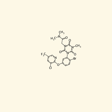 CN(C)C(=O)Cn1c(=O)n(C)c(=O)n(-c2cc(Oc3ncc(C(F)(F)F)cc3Cl)ccc2Br)c1=O